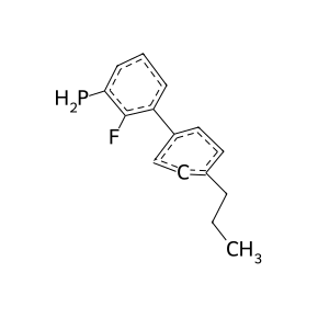 CCCc1ccc(-c2cccc(P)c2F)cc1